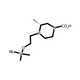 C[C@@H]1CN(C(=O)O)CCN1CCO[Si](C)(C)C(C)(C)C